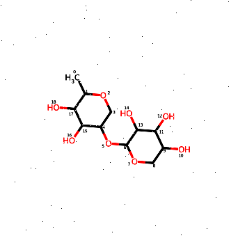 CC1OCC(OC2OCC(O)C(O)C2O)C(O)C1O